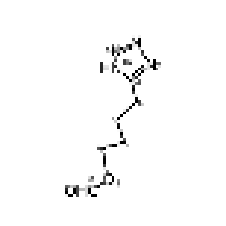 O=COCCCCc1nnn[nH]1